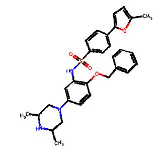 Cc1ccc(-c2ccc(S(=O)(=O)Nc3cc(N4CC(C)NC(C)C4)ccc3OCc3ccccc3)cc2)o1